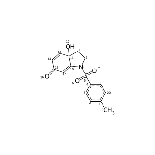 Cc1ccc(S(=O)(=O)N2CCC3(O)C=CC(=O)C=C23)cc1